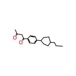 CCCC1CCC(c2ccc(C(=O)CC(C)=O)cc2)CC1